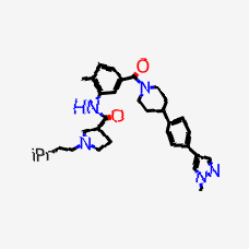 Cc1ccc(C(=O)N2CCC(c3ccc(-c4cnn(C)c4)cc3)CC2)cc1NC(=O)C1CCN(CCC(C)C)C1